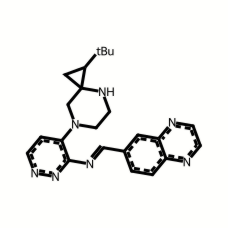 CC(C)(C)C1CC12CN(c1ccnnc1/N=C/c1ccc3nccnc3c1)CCN2